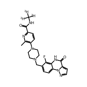 [2H]C([2H])([2H])NC(=O)c1ccc(N2CCN(Cc3ccc4c([nH]c(=O)c5ccnn54)c3F)CC2)c(C)n1